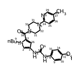 CCCCn1cc(NC(=O)Nc2ccc(OC(F)(F)F)cc2)cc1C(=O)N1CCN(c2ccc(C)cn2)CC1